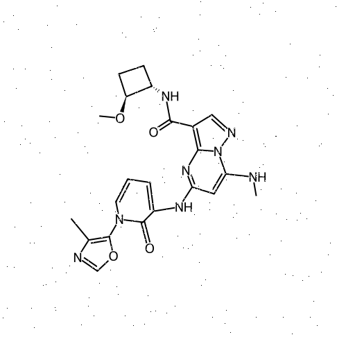 CNc1cc(Nc2cccn(-c3ocnc3C)c2=O)nc2c(C(=O)N[C@H]3CC[C@@H]3OC)cnn12